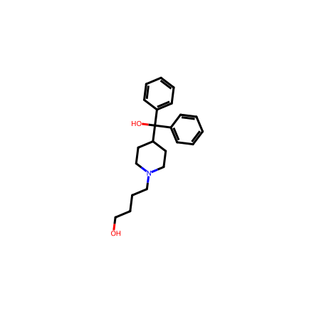 OCCCCN1CCC(C(O)(c2ccccc2)c2ccccc2)CC1